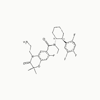 CCN(C(=O)c1cc2c(cc1F)OC(C)(C)C(=O)N2CCN)[C@@H]1CCCC[C@H]1c1cc(F)c(F)cc1F